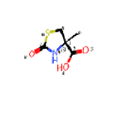 C[C@]1(C(=O)O)CSC(=O)N1